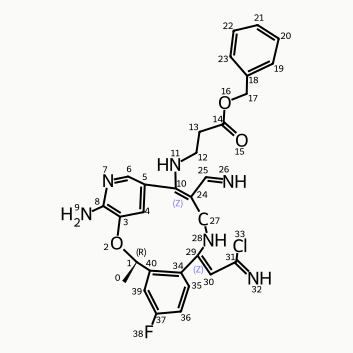 C[C@H]1Oc2cc(cnc2N)/C(NCCC(=O)OCc2ccccc2)=C(/C=N)CN/C(=C\C(=N)Cl)c2ccc(F)cc21